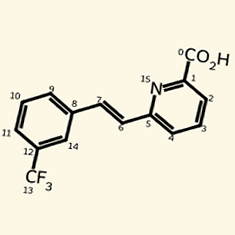 O=C(O)c1cccc(/C=C/c2cccc(C(F)(F)F)c2)n1